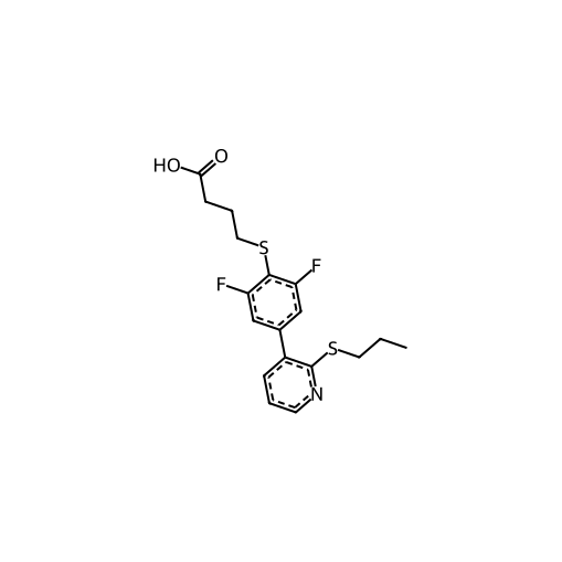 CCCSc1ncccc1-c1cc(F)c(SCCCC(=O)O)c(F)c1